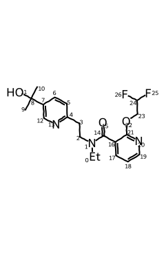 CCN(CCc1ccc(C(C)(C)O)cn1)C(=O)c1cccnc1OCC(F)F